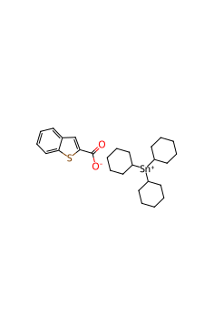 C1CC[CH]([Sn+]([CH]2CCCCC2)[CH]2CCCCC2)CC1.O=C([O-])c1cc2ccccc2s1